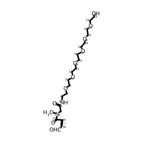 CN(CC(=O)NCCOCCOCCOCCOCCOCCOCCO)C(=O)/C=C\C=O